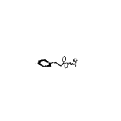 C[Si](C)(C)CCOC(=O)CCc1cc[c]cc1